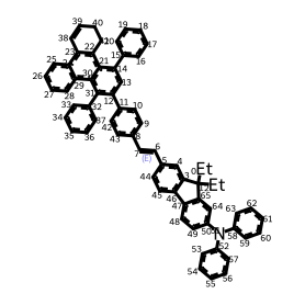 CCC1(CC)c2cc(/C=C/c3ccc(-c4cc(-c5ccccc5)c5c6c(c7ccccc7c5c4-c4ccccc4)C=CCC6)cc3)ccc2-c2ccc(N(c3ccccc3)c3ccccc3)cc21